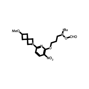 COC1CC2(C1)CN(c1ccc([N+](=O)[O-])c(OCCCN(OC=O)C(C)(C)C)n1)C2